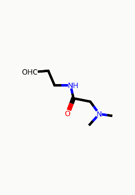 CN(C)CC(=O)NCCC=O